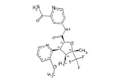 COc1cccnc1[C@H]1[C@@H](C(=O)Nc2ccnc(C(N)=O)c2)O[C@](C)(C(F)(F)F)[C@H]1C